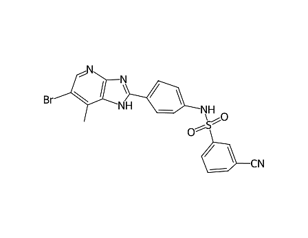 Cc1c(Br)cnc2nc(-c3ccc(NS(=O)(=O)c4cccc(C#N)c4)cc3)[nH]c12